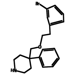 Brc1cccc(CCOCC2(c3ccccc3)CCNCC2)c1